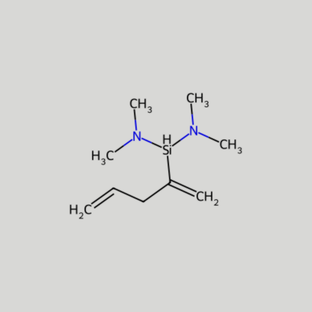 C=CCC(=C)[SiH](N(C)C)N(C)C